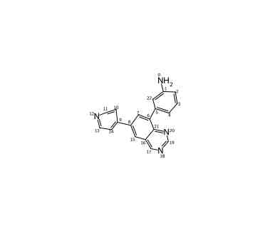 Nc1cccc(-c2cc(-c3ccncc3)cc3cncnc23)c1